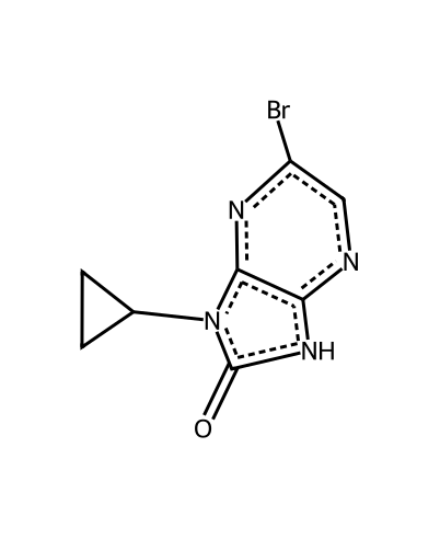 O=c1[nH]c2ncc(Br)nc2n1C1CC1